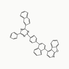 c1ccc(-c2nc(-c3ccc(-c4ccc(-c5ccnc6oc7ccccc7c56)c5ccccc45)cc3)nc(-c3ccc4ccccc4c3)n2)cc1